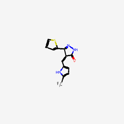 O=C1NN=C(c2cccs2)C1=Cc1ccc(C(F)(F)F)[nH]1